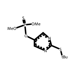 COP(=S)(OC)Oc1cnc(SC(C)(C)C)nc1